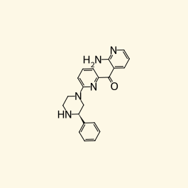 Nc1ncccc1C(=O)c1cccc(N2CCN[C@H](c3ccccc3)C2)n1